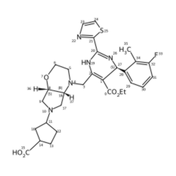 CCOC(=O)C1=C(CN2CCO[C@H]3CN(C4CCC(C(=O)O)C4)C[C@H]32)NC(c2nccs2)=N[C@H]1c1cccc(F)c1C